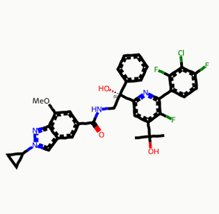 COc1cc(C(=O)NC[C@@](O)(c2ccccc2)c2cc(C(C)(C)O)c(F)c(-c3ccc(F)c(Cl)c3F)n2)cc2cn(C3CC3)nc12